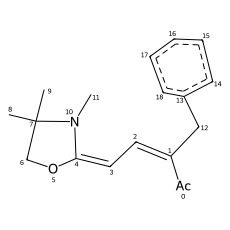 CC(=O)C(=CC=C1OCC(C)(C)N1C)Cc1ccccc1